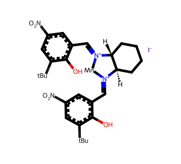 CC(C)(C)c1cc([N+](=O)[O-])cc(C=[N+]2[Mn][N+](=Cc3cc([N+](=O)[O-])cc(C(C)(C)C)c3O)[C@@H]3CCCC[C@H]32)c1O.[I-]